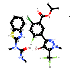 CC(C)OC(=O)c1cc(-c2nn(C)c(C(F)(F)F)c2Br)c(F)cc1Cl.CNC(=O)N(C)c1nc2ccccc2s1